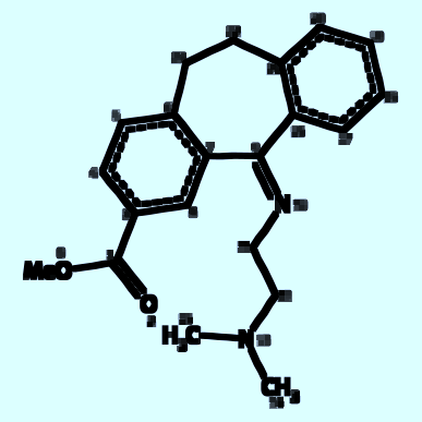 COC(=O)c1ccc2c(c1)C(=NCCN(C)C)c1ccccc1CC2